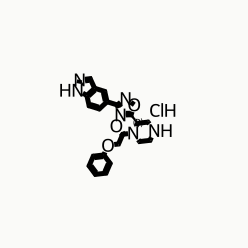 Cl.O=C(COc1ccccc1)N1CCNC[C@@H]1c1nc(-c2ccc3[nH]ncc3c2)no1